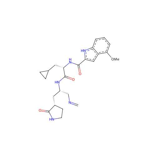 C=NC[C@H](C[C@@H]1CCNC1=O)NC(=O)[C@H](CC1CC1)NC(=O)c1cc2c(OC)cccc2[nH]1